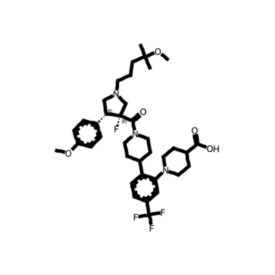 COc1ccc([C@@H]2CN(CCCC(C)(C)OC)C[C@@]2(F)C(=O)N2CCC(c3ccc(C(F)(F)F)cc3N3CCC(C(=O)O)CC3)CC2)cc1